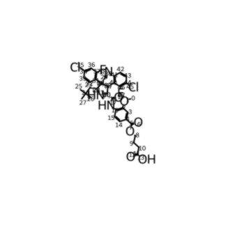 COc1cc(C(=O)OCCCC(=O)O)ccc1NC(=O)[C@@H]1N[C@@H](CC(C)(C)C)[C@](C#N)(c2ccc(Cl)cc2F)[C@H]1c1cccc(Cl)c1F